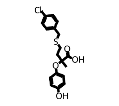 CC(CCSCc1ccc(Cl)cc1)(Oc1ccc(O)cc1)C(=O)O